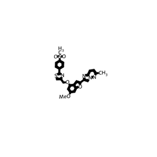 COc1cc(OCc2csc(-c3ccc(S(C)(=O)=O)cc3)n2)c2cc(-c3cn4nc(C)ccc4n3)oc2c1